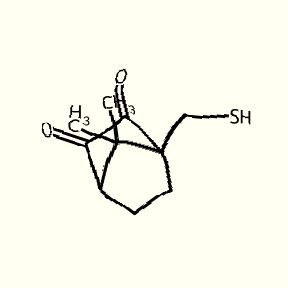 CC1(C)C2CCC1(CS)C(=O)C2=O